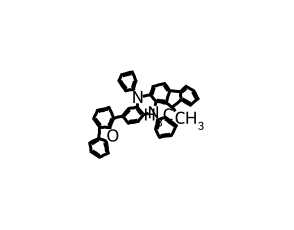 CC1(C)c2ccccc2-c2ccc3c(c21)N(c1ccccc1)c1ccc(-c2cccc4c2oc2ccccc24)cc1N3c1ccccc1